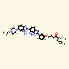 CCC(C)C(=O)CCCOc1cccc(-c2nc3ccc(-c4nc5ccc(N6CCN(C)CC6)cc5[nH]4)cc3[nH]2)c1